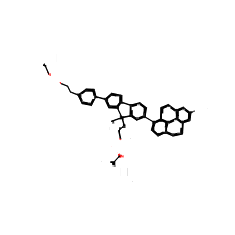 C=CC1(CCCOC(=O)C(=C)C)c2cc(-c3ccc(CCCOC(=O)C(=C)C)cc3)ccc2-c2ccc(-c3ccc4ccc5cc(C(C)(C)C)cc6ccc3c4c56)cc21